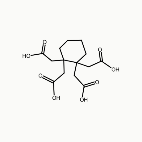 O=C(O)CC1(CC(=O)O)CCCCC1(CC(=O)O)CC(=O)O